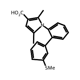 CSc1cccc(-c2ccccc2-n2c(C)cc(C(=O)O)c2C)c1